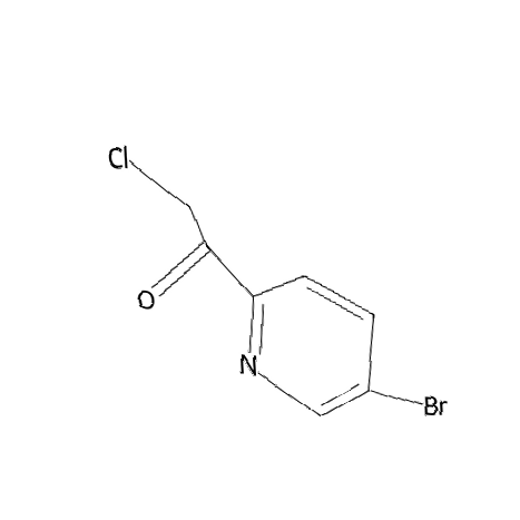 O=C(CCl)c1ccc(Br)cn1